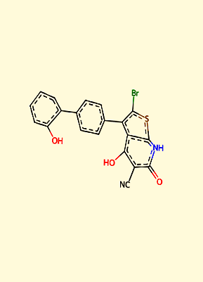 N#Cc1c(O)c2c(-c3ccc(-c4ccccc4O)cc3)c(Br)sc2[nH]c1=O